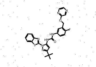 CC(C)(C)c1cc(NC(=O)Nc2ccc(F)c(COc3cnccn3)c2)n(-c2nc3ccccc3s2)n1